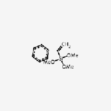 C=C[Si](OC)(OC)OC.c1ccccc1